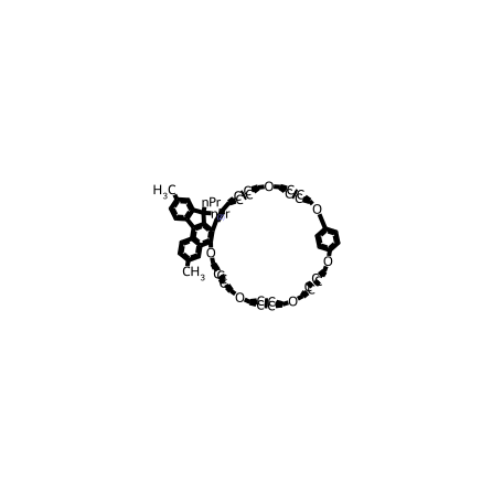 CCCC1(CCC)c2cc(C)ccc2-c2c1c1c(c3cc(C)ccc23)Oc2ccc(cc2)Oc2ccc(cc2)Oc2ccc(cc2)Oc2ccc(cc2)Oc2ccc(cc2)Oc2ccc(cc2)/C=C\1